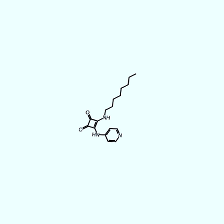 CCCCCCCCNc1c(Nc2ccncc2)c(=O)c1=O